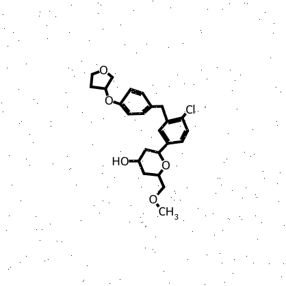 COCC1CC(O)CC(c2ccc(Cl)c(Cc3ccc(OC4CCOC4)cc3)c2)O1